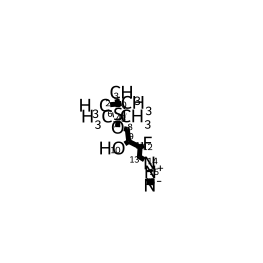 CC(C)(C)[Si](C)(C)OCC(O)C(F)CN=[N+]=[N-]